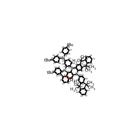 Cc1cc2c3c(c1)N(c1ccc(C(C)(C)C)cc1-c1ccccc1)c1cc(N(c4ccc(C(C)(C)C)cc4)c4ccc(C(C)(C)C)cc4)ccc1B3c1cc3c(cc1N2c1ccc2c(c1)C(C)(C)c1ccccc1C2(C)C)C(C)(C)c1ccccc1C3(C)C